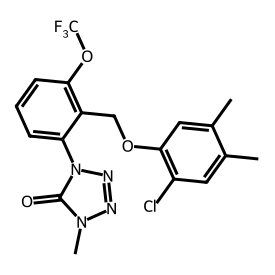 Cc1cc(Cl)c(OCc2c(OC(F)(F)F)cccc2-n2nnn(C)c2=O)cc1C